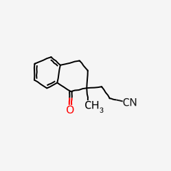 CC1(CCC#N)CCc2ccccc2C1=O